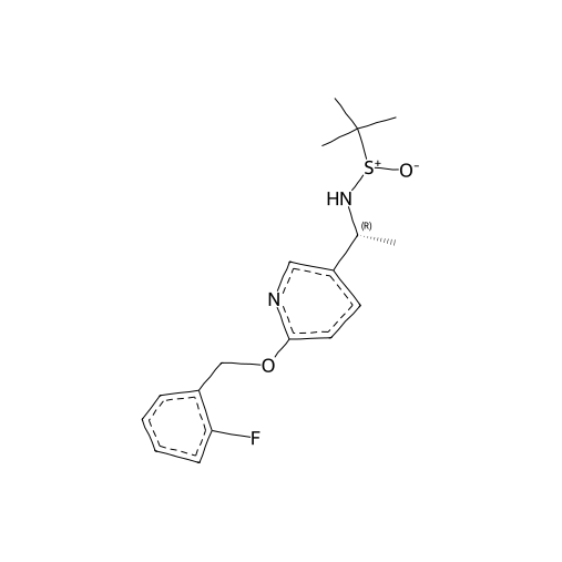 C[C@@H](N[S+]([O-])C(C)(C)C)c1ccc(OCc2ccccc2F)nc1